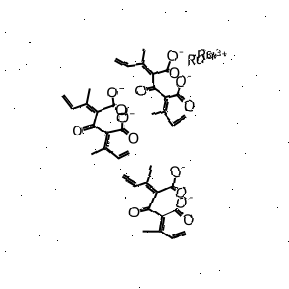 C=CC(C)=C(C(=O)[O-])C(=O)C(C(=O)[O-])=C(C)C=C.C=CC(C)=C(C(=O)[O-])C(=O)C(C(=O)[O-])=C(C)C=C.C=CC(C)=C(C(=O)[O-])C(=O)C(C(=O)[O-])=C(C)C=C.[Ru+3].[Ru+3]